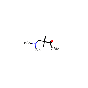 CCCN(CCC)CC(C)(C)C(=O)OC